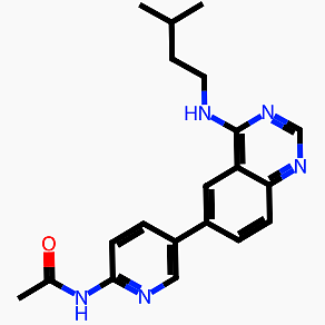 CC(=O)Nc1ccc(-c2ccc3ncnc(NCCC(C)C)c3c2)cn1